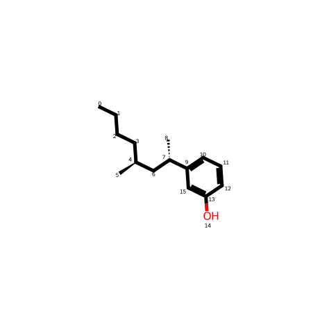 CCCC[C@H](C)C[C@H](C)c1cccc(O)c1